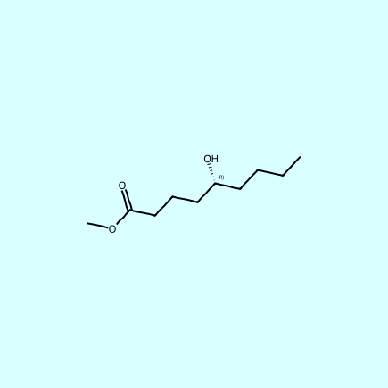 CCCC[C@@H](O)CCCC(=O)OC